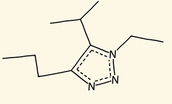 CCCc1nnn(CC)c1C(C)C